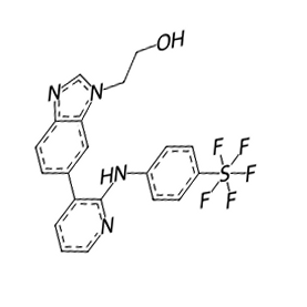 OCCn1cnc2ccc(-c3cccnc3Nc3ccc(S(F)(F)(F)(F)F)cc3)cc21